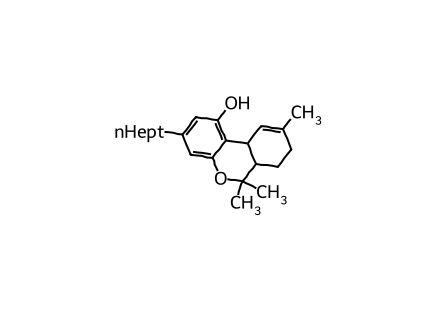 CCCCCCCc1cc(O)c2c(c1)OC(C)(C)C1CCC(C)=CC21